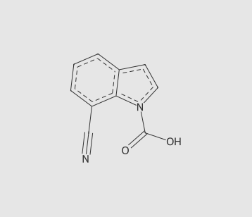 N#Cc1cccc2ccn(C(=O)O)c12